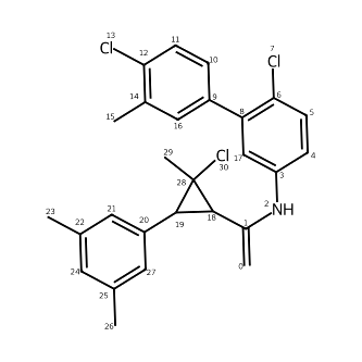 C=C(Nc1ccc(Cl)c(-c2ccc(Cl)c(C)c2)c1)C1C(c2cc(C)cc(C)c2)C1(C)Cl